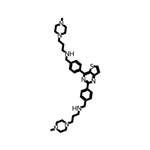 CN1CCN(CCCNCc2ccc(-c3nc(-c4ccc(CNCCCN5CCN(C)CC5)cc4)c4sccc4n3)cc2)CC1